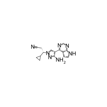 N#CC[C@@H](C1CC1)n1cc(-c2ncnc3[nH]ccc23)c(N)n1